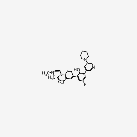 CN(C)/C=C\N(C=O)c1ccc(-c2cc(F)cc(-c3cncc(N4CCCCC4)c3)c2O)cc1Cl